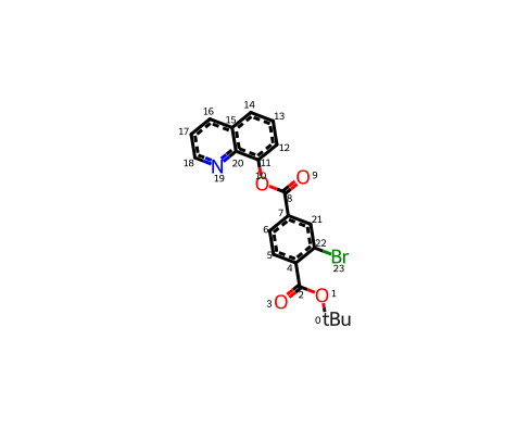 CC(C)(C)OC(=O)c1ccc(C(=O)Oc2cccc3cccnc23)cc1Br